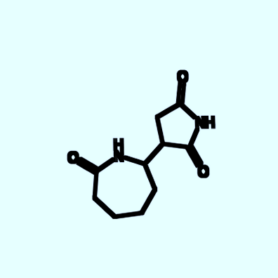 O=C1CC(C2CCCCC(=O)N2)C(=O)N1